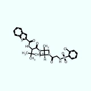 CC(C)(C)C(NC(=O)c1cc2ccccc2s1)C(=O)N1C[C@H]2N(C(=O)CNS(=O)(=O)c3ccccc3Cl)CC21C